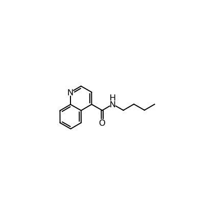 CCCCNC(=O)c1ccnc2ccccc12